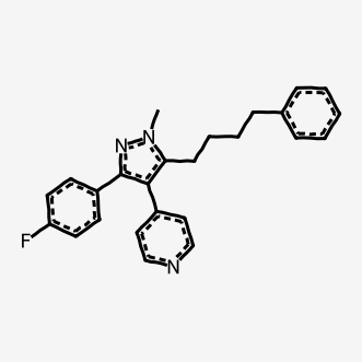 Cn1nc(-c2ccc(F)cc2)c(-c2ccncc2)c1CCCCc1ccccc1